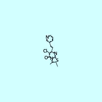 Cc1sc2nc(/C=C/c3cccnc3)c(Cl)c(=O)n2c1C